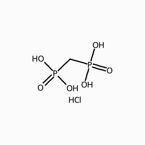 Cl.O=P(O)(O)CP(=O)(O)O